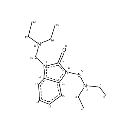 CCN(CC)Sn1c(=O)n(SN(CC)CC)c2ccccc21